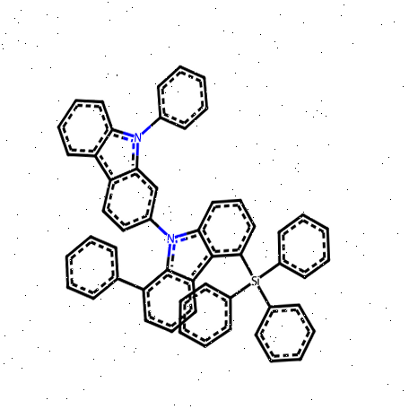 c1ccc(-c2cccc3c4c([Si](c5ccccc5)(c5ccccc5)c5ccccc5)cccc4n(-c4ccc5c6ccccc6n(-c6ccccc6)c5c4)c23)cc1